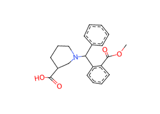 COC(=O)c1ccccc1C(c1ccccc1)N1CCCC(C(=O)O)C1